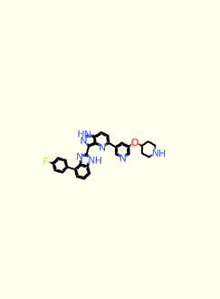 Fc1ccc(-c2cccc3[nH]c(-c4n[nH]c5ccc(-c6cncc(OC7CCNCC7)c6)nc45)nc23)cc1